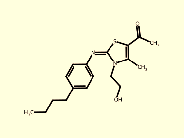 CCCCc1ccc(N=c2sc(C(C)=O)c(C)n2CCO)cc1